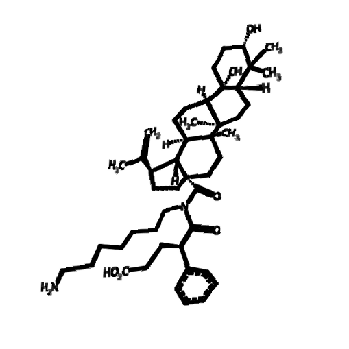 C=C(C)[C@@H]1CC[C@]2(C(=O)N(CCCCCCCN)C(=O)[C@H](CCC(=O)O)c3ccccc3)CC[C@]3(C)[C@H](CC[C@H]4[C@@]5(C)CC[C@H](O)C(C)(C)[C@@H]5CC[C@]43C)[C@@H]12